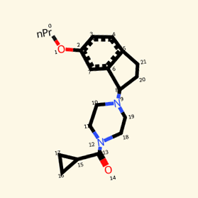 CCCOc1ccc2c(c1)C(N1CCN(C(=O)C3CC3)CC1)CC2